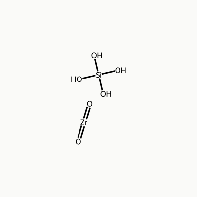 O[Si](O)(O)O.[O]=[Zr]=[O]